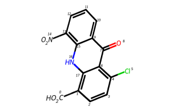 O=C(O)c1ccc(Cl)c2c(=O)c3cccc([N+](=O)[O-])c3[nH]c12